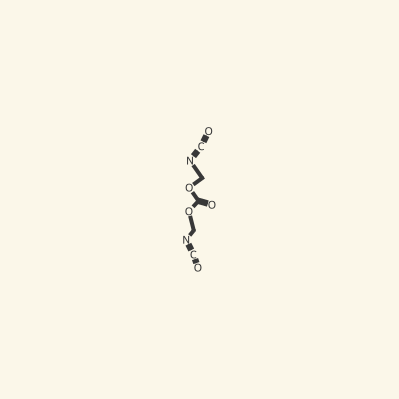 O=C=NCOC(=O)OCN=C=O